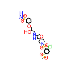 CNS(=O)(=O)c1cccc(OCC(O)CNC2COC3(CCN(S(=O)(=O)c4cc(S(C)(=O)=O)ccc4Cl)CC3)C2)c1